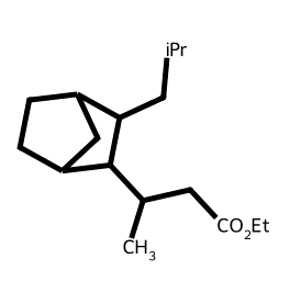 CCOC(=O)CC(C)C1C2CCC(C2)C1CC(C)C